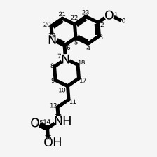 COc1ccc2c(N3CCC(CCNC(=O)O)CC3)nccc2c1